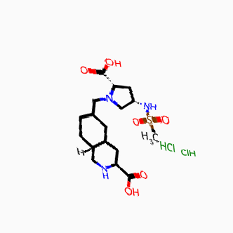 CS(=O)(=O)N[C@H]1C[C@@H](C(=O)O)N(CC2CC[C@H]3CNC(C(=O)O)CC3C2)C1.Cl.Cl